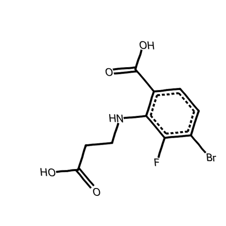 O=C(O)CCNc1c(C(=O)O)ccc(Br)c1F